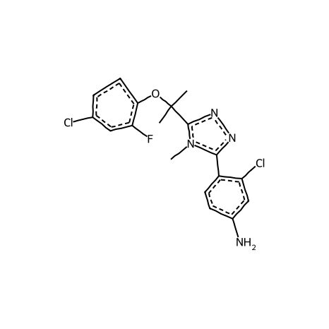 Cn1c(-c2ccc(N)cc2Cl)nnc1C(C)(C)Oc1ccc(Cl)cc1F